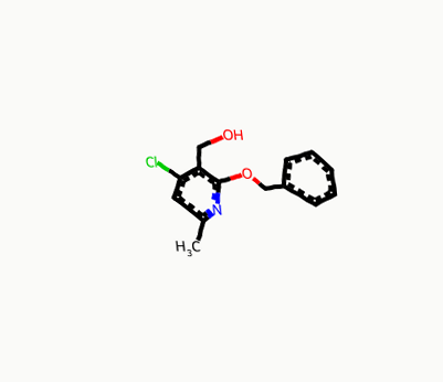 Cc1cc(Cl)c(CO)c(OCc2ccccc2)n1